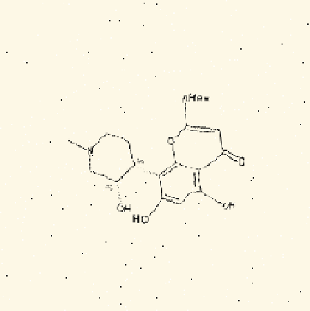 CCCCCCc1cc(=O)c2c(O)cc(O)c([C@H]3CCN(C)C[C@H]3O)c2o1